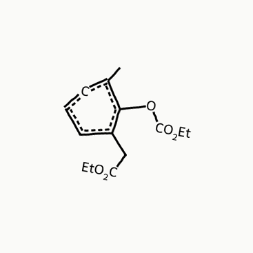 CCOC(=O)Cc1cccc(C)c1OC(=O)OCC